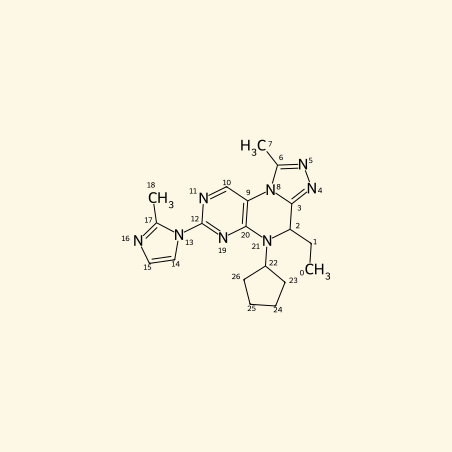 CCC1c2nnc(C)n2-c2cnc(-n3ccnc3C)nc2N1C1CCCC1